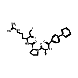 CC(C)C(NC(=O)c1ccc(-c2ccccc2)cc1)C(=O)N1CCC[C@H]1C(=O)NC(CCCNC(=N)N)C(=O)CF